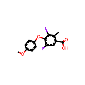 COc1ccc(Oc2c(I)cc(C(=O)O)c(C)c2I)cc1